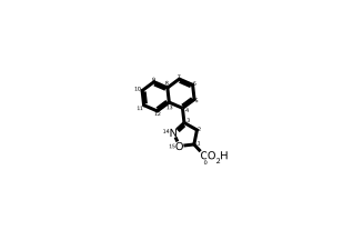 O=C(O)C1CC(c2cccc3ccccc23)=NO1